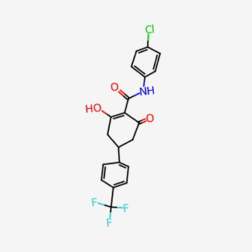 O=C1CC(c2ccc(C(F)(F)F)cc2)CC(O)=C1C(=O)Nc1ccc(Cl)cc1